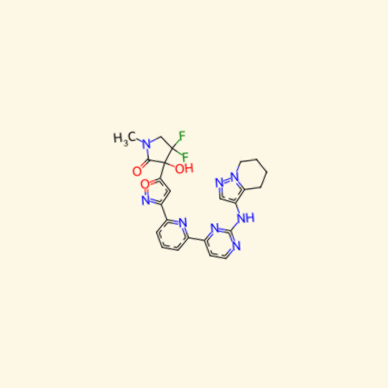 CN1CC(F)(F)C(O)(c2cc(-c3cccc(-c4ccnc(Nc5cnn6c5CCCC6)n4)n3)no2)C1=O